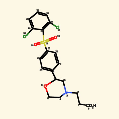 O=C(O)CCN1CCOC(c2ccc(S(=O)(=O)c3c(Cl)cccc3Cl)cc2)C1